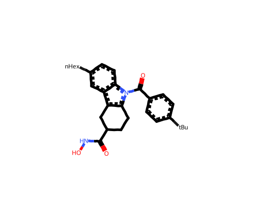 CCCCCCc1ccc2c(c1)c1c(n2C(=O)c2ccc(C(C)(C)C)cc2)CCC(C(=O)NO)C1